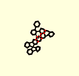 c1ccc(-c2ccccc2-c2c(-c3ccccc3)cccc2N(c2ccc3c(c2)-c2ccccc2C32c3ccccc3-c3ccccc32)c2ccc3c(ccc4ccccc43)c2)cc1